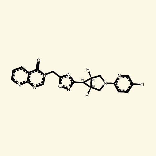 O=c1c2cccnc2ncn1Cc1nc([C@H]2[C@@H]3CN(c4ccc(Cl)cn4)C[C@@H]32)no1